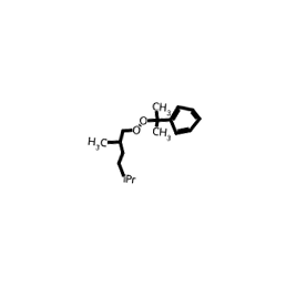 CC(C)CCC(C)COOC(C)(C)c1ccccc1